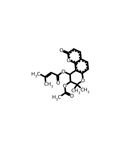 CC(=O)OC1C(OC(=O)C=C(C)C)c2c(ccc3ccc(=O)oc23)OC1(C)C